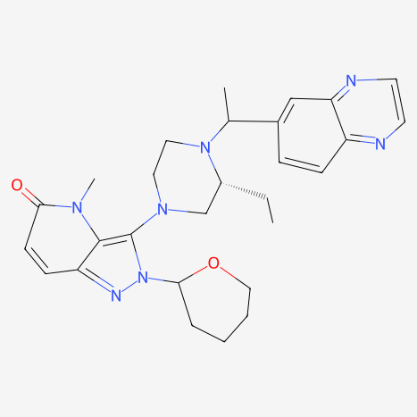 CC[C@@H]1CN(c2c3c(ccc(=O)n3C)nn2C2CCCCO2)CCN1C(C)c1ccc2nccnc2c1